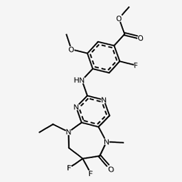 CCN1CC(F)(F)C(=O)N(C)c2cnc(Nc3cc(F)c(C(=O)OC)cc3OC)nc21